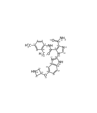 Cc1ccc(NC(=O)c2c(C(N)=O)ncn2-c2nc3cc(OC4CNC4)ccc3[nH]2)c(C)c1